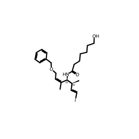 CC(=CCOCc1ccccc1)[C@@H](NC(=O)CCCCCCO)[C@@H](C)C=CI